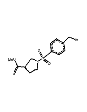 COC(=O)C1CCN(S(=O)(=O)c2ccc(CBr)cc2)C1